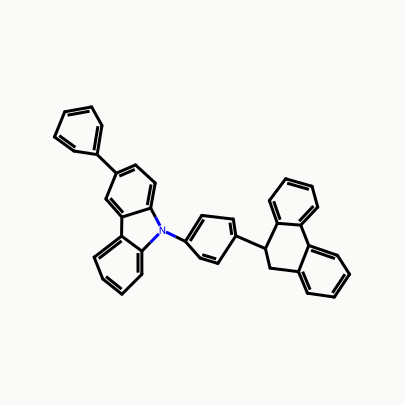 c1ccc(-c2ccc3c(c2)c2ccccc2n3-c2ccc(C3Cc4ccccc4-c4ccccc43)cc2)cc1